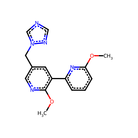 COc1cccc(-c2cc(Cn3cncn3)cnc2OC)n1